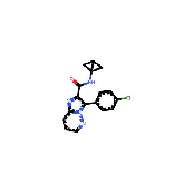 O=C(NC12CC1C2)c1nc2cccnn2c1-c1ccc(Cl)cc1